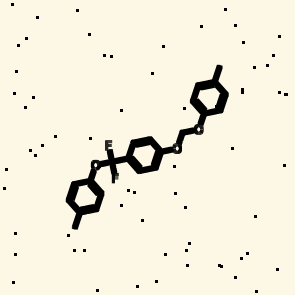 Cc1ccc(OCOc2ccc(C(F)(F)Oc3ccc(C)cc3)cc2)cc1